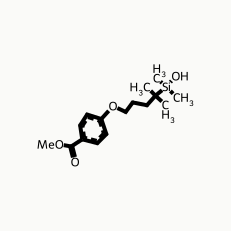 COC(=O)c1ccc(OCCCC(C)(C)[Si](C)(C)O)cc1